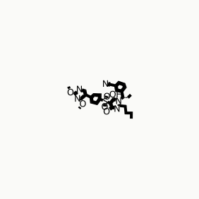 CCCCc1nc(=O)c(S(=O)(=O)c2ccc(-c3cnc(OC)nc3OC)cc2)c(O)n1[C@@H](CC)c1cccc(C#N)c1